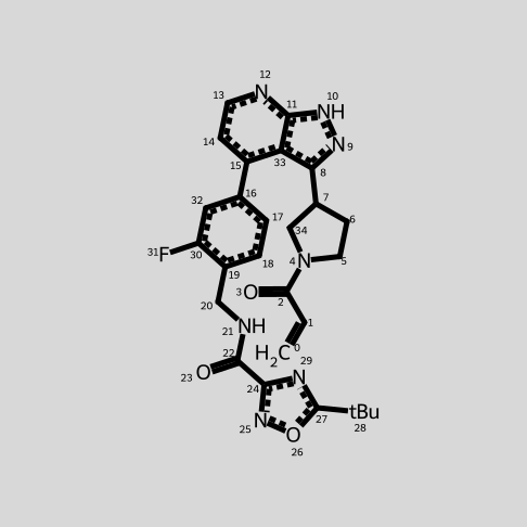 C=CC(=O)N1CCC(c2n[nH]c3nccc(-c4ccc(CNC(=O)c5noc(C(C)(C)C)n5)c(F)c4)c23)C1